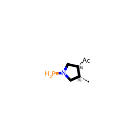 CC(=O)[C@H]1CN(P)C[C@H]1C